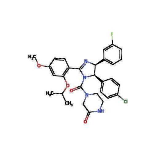 COc1ccc(C2=N[C@@H](c3cccc(F)c3)[C@@H](c3ccc(Cl)cc3)N2C(=O)N2CCNC(=O)C2)c(OC(C)C)c1